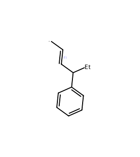 [CH2]/C=C/C(CC)c1ccccc1